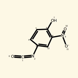 O=C=Nc1ccc(O)c([N+](=O)[O-])c1